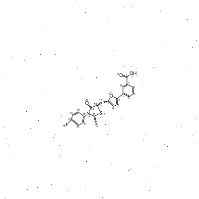 O=C(O)c1cccc(-c2ccc(/C=C3\SC(=S)N(c4ccc(F)cc4)C3=O)o2)c1